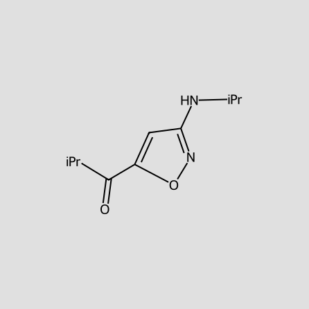 CC(C)Nc1cc(C(=O)C(C)C)on1